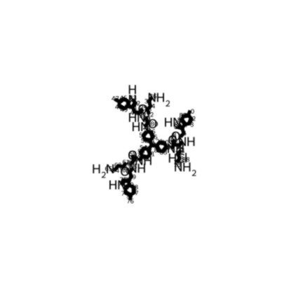 Cc1ccc2c(CC(=O)N[C@H](CCCCN)C(=O)Nc3ccc(C(c4ccc(NC(=O)[C@@H](CCCCN)NC(=O)Cc5c[nH]c6cc(C)ccc56)cc4)c4ccc(NC(=O)[C@@H](CCCCN)NC(=O)Cc5c[nH]c6cc(C)ccc56)cc4)cc3)c[nH]c2c1.Cl